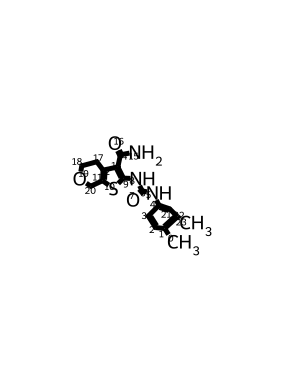 Cc1ccc(NC(=O)Nc2sc3c(c2C(N)=O)CCOC3)cc1C